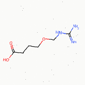 N=C(N)NCOCCCC(=O)O